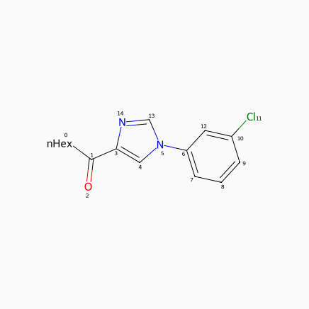 CCCCCCC(=O)c1cn(-c2cccc(Cl)c2)cn1